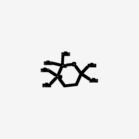 CCCCC1(CCCC)C[CH2][Ge]([CH2]CCC)([CH2]CCC)[Ge]([CH2]CCC)([CH2]CCC)[O]1